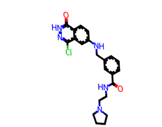 O=C(NCCN1CCCC1)c1cccc(CNc2ccc3c(=O)[nH]nc(Cl)c3c2)c1